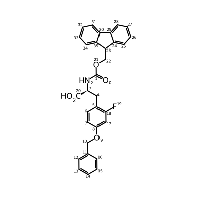 O=C(N[C@@H](Cc1ccc(OCc2ccccc2)cc1F)C(=O)O)OCC1c2ccccc2-c2ccccc21